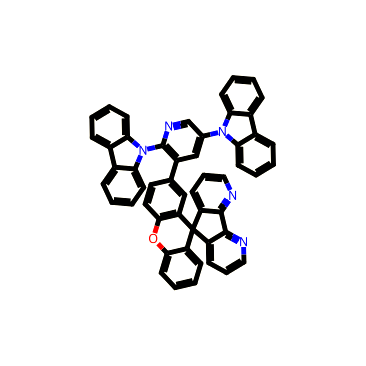 c1ccc2c(c1)Oc1ccc(-c3cc(-n4c5ccccc5c5ccccc54)cnc3-n3c4ccccc4c4ccccc43)cc1C21c2cccnc2-c2ncccc21